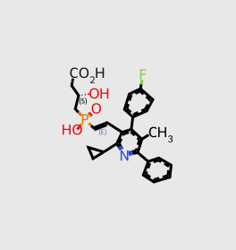 Cc1c(-c2ccccc2)nc(C2CC2)c(/C=C/P(=O)(O)C[C@@H](O)CC(=O)O)c1-c1ccc(F)cc1